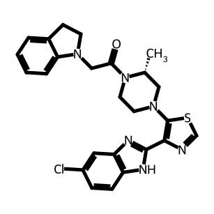 C[C@@H]1CN(c2scnc2-c2nc3cc(Cl)ccc3[nH]2)CCN1C(=O)CN1CCc2ccccc21